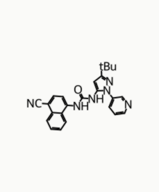 CC(C)(C)c1cc(NC(=O)Nc2ccc(C#N)c3ccccc23)n(-c2cccnc2)n1